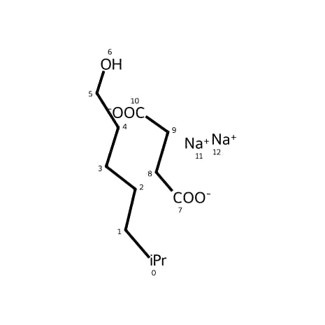 CC(C)CCCCCO.O=C([O-])CCC(=O)[O-].[Na+].[Na+]